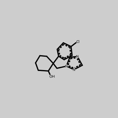 OC1CCCCC1(Cn1cncn1)c1ccc(Cl)cc1